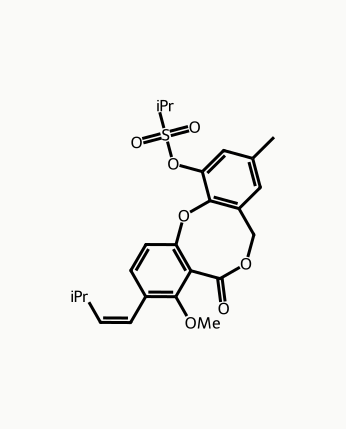 COc1c(/C=C\C(C)C)ccc2c1C(=O)OCc1cc(C)cc(OS(=O)(=O)C(C)C)c1O2